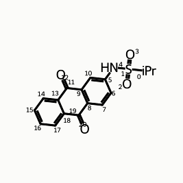 CC(C)S(=O)(=O)Nc1ccc2c(c1)C(=O)c1ccccc1C2=O